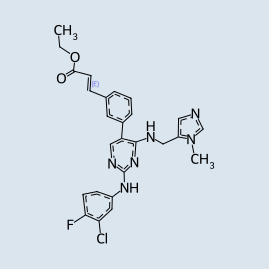 CCOC(=O)/C=C/c1cccc(-c2cnc(Nc3ccc(F)c(Cl)c3)nc2NCc2cncn2C)c1